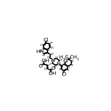 CC1(C)CCc2cc(Cl)cc(N3CCN(CCc4c[nH]c5cc(Cl)ccc45)CC3)c2O1.O=C(O)/C=C/C(=O)O